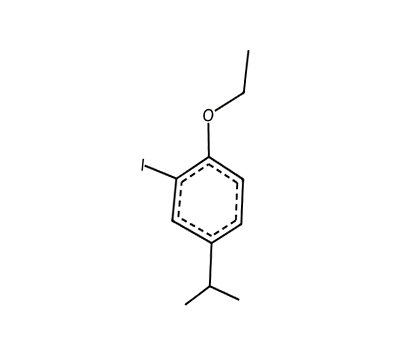 CCOc1ccc(C(C)C)cc1I